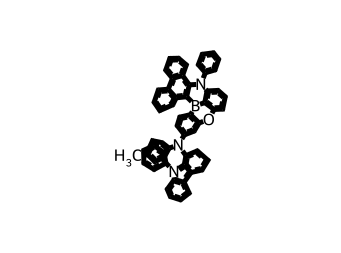 Cc1ccc(N(c2ccc3c(c2)Oc2cccc4c2B3c2c(c3ccccc3c3ccccc23)N4c2ccccc2)c2cccc3c4ccccc4n(-c4ccccc4)c23)cc1